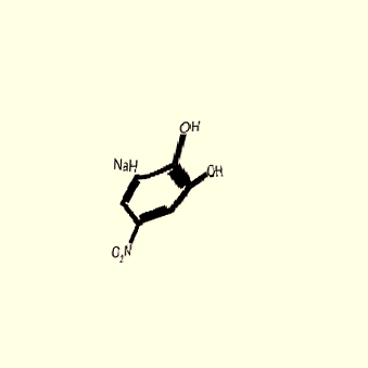 O=[N+]([O-])c1ccc(O)c(O)c1.[NaH]